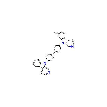 C[C@@H]1C=Cc2c(n(-c3ccc(-c4ccc(-n5c6ccccc6c6ccncc65)cc4)cc3)c3cnccc23)C1